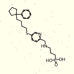 O=P(O)(O)CCCNCc1ccc(SCCCCC2(c3ccccc3)CCCC2)cn1